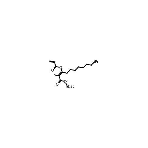 C=CC(=O)OC(CCCCCCCC(C)C)=C(C)C(=O)OCCCCCCCCCC